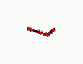 C#CC(=O)OCOC(=O)C=CSCCS/C=C/C(=O)OCOC(=O)C=CSCOC(=O)CC(=O)OCS/C=C/C(=O)OCOC(=O)C#C